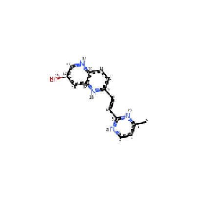 Cc1ccnc(C=Cc2ccc3ncc(Br)cc3n2)n1